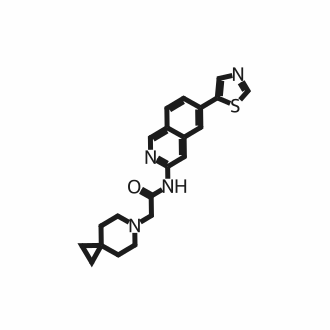 O=C(CN1CCC2(CC1)CC2)Nc1cc2cc(-c3cncs3)ccc2cn1